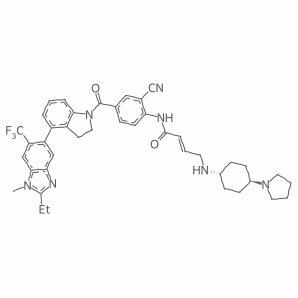 CCc1nc2cc(-c3cccc4c3CCN4C(=O)c3ccc(NC(=O)/C=C/CN[C@H]4CC[C@H](N5CCCC5)CC4)c(C#N)c3)c(C(F)(F)F)cc2n1C